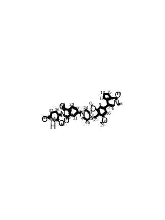 COc1cc(-c2cn(C)c(=O)c3c2CCC3)cc(OC)c1CN1CCN(c2ccc3c(c2)C(=O)N(C2CCC(=O)NC2=O)C3=O)CC1